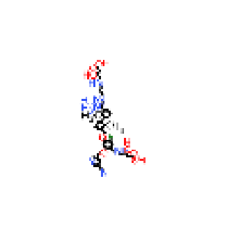 Cc1c(COc2cc(OCc3cncc(C#N)c3)c(CNCC(O)CC(=O)O)cc2Cl)cccc1-c1cccc(/C(N)=C/N(N)CCCNCC(O)CC(=O)O)c1C